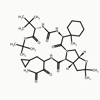 CC(C)(C)OC(=O)[C@@H](NC(=O)N[C@H](C(=O)N1C[C@@H]2OC(C)(C)C[C@@H]2[C@H]1C(=O)NC(CC1CC1)C(=O)C(N)=O)C1(C)CCCCC1)C(C)(C)C